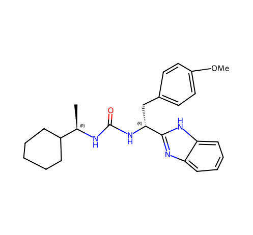 COc1ccc(C[C@@H](NC(=O)N[C@H](C)C2CCCCC2)c2nc3ccccc3[nH]2)cc1